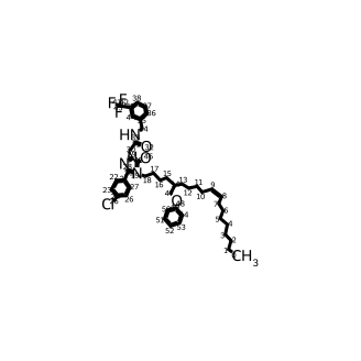 CCCCCCCC/C=C\CCCCC(CCCCn1c(-c2ccc(Cl)cc2)nn(CC(=O)NCc2cccc(C(F)(F)F)c2)c1=O)COc1ccccc1